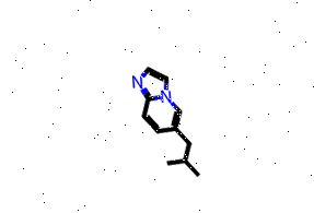 CC(C)Cc1ccc2nccn2c1